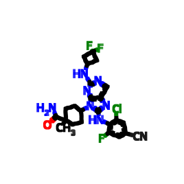 CC1(C(N)=O)CCC(n2c(Nc3c(F)cc(C#N)cc3Cl)nc3cnc(NC4CC(F)(F)C4)nc32)CC1